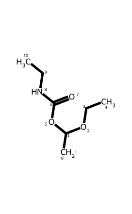 [CH2]C(OCC)OC(=O)NCC